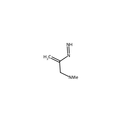 C=C(CNC)N=N